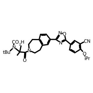 CC(C)Oc1ccc(-c2nc(-c3ccc4c(c3)CCN(C(=O)C(C)(C)N(C(=O)O)C(C)(C)C)CC4)no2)cc1C#N